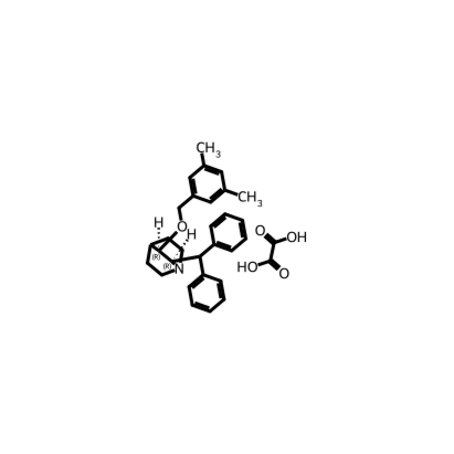 Cc1cc(C)cc(CO[C@@H]2C3CCN(CC3)[C@@H]2C(c2ccccc2)c2ccccc2)c1.O=C(O)C(=O)O